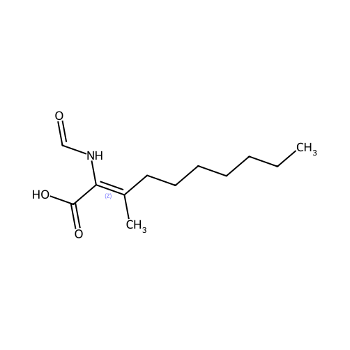 CCCCCCC/C(C)=C(\NC=O)C(=O)O